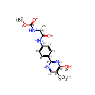 C[C@@H](NC(=O)OC(C)(C)C)C(=O)Nc1ccc(-c2ncc(C(=O)O)c(O)n2)cc1